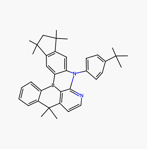 CC(C)(C)c1ccc(N2c3cc4c(cc3B3c5ccccc5C(C)(C)c5ccnc2c53)C(C)(C)CC4(C)C)cc1